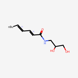 CCCC/C=C/C=C/C(=O)NCC(O)CO